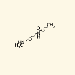 C=CCOC(=O)NCCCOCCNC